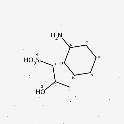 CC(O)CS(=O)(=O)O.NC1CCCCC1